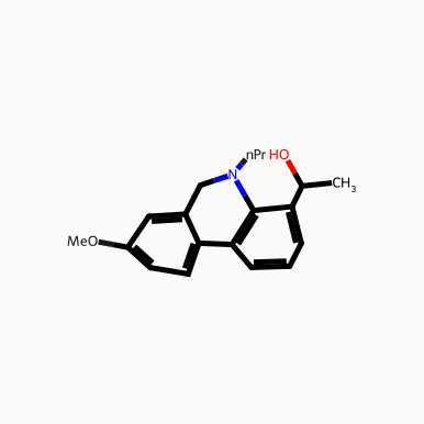 CCCN1Cc2cc(OC)ccc2-c2cccc(C(C)O)c21